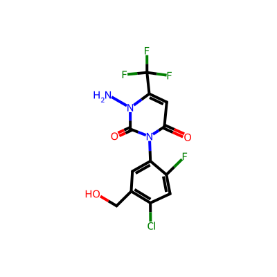 Nn1c(C(F)(F)F)cc(=O)n(-c2cc(CO)c(Cl)cc2F)c1=O